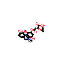 C=C(C)O[C@@H](CC(=O)OC1=CC[C@@]2(O)[C@H]3Cc4ccc(O)c5c4[C@@]2(CCN3C)[C@H]1O5)C(=O)O